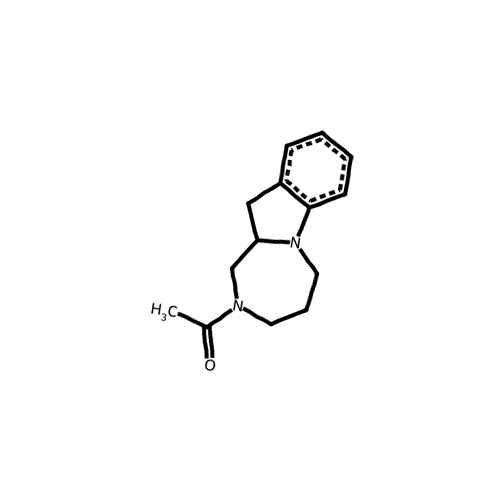 CC(=O)N1CCCN2c3ccccc3CC2C1